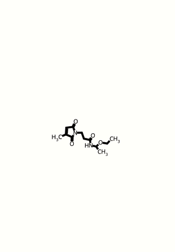 CCOC(C)NC(=O)CCN1C(=O)C=C(C)C1=O